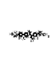 Cc1nn2c(-c3cc(=O)[nH]c4cc(-c5ccn(C)n5)ccc34)cnc2cc1-c1ccc(N2CCNCC2)cc1